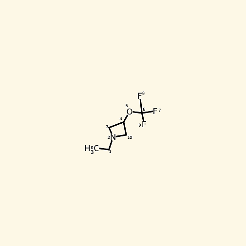 CCN1CC(OC(F)(F)F)C1